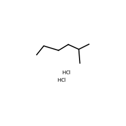 CCCCC(C)C.Cl.Cl